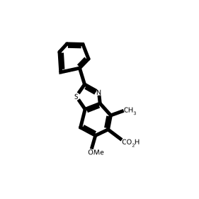 COc1cc2sc(-c3ccccc3)nc2c(C)c1C(=O)O